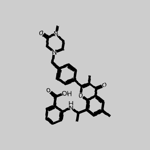 Cc1cc(C(C)Nc2ccccc2C(=O)O)c2oc(-c3ccc(CN4CCN(C)C(=O)C4)cc3)c(C)c(=O)c2c1